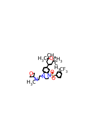 CN(CCN1CCN(S(=O)(=O)c2cccc(C(F)(F)F)c2)c2cc(C3=CC(C)(C)OC(C)(C)C3)ccc21)C1COC1